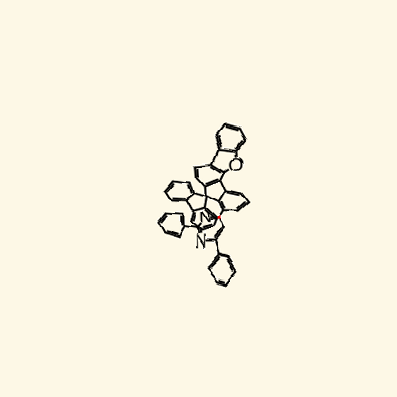 c1ccc(-c2cc(-c3cccc4c3C3(c5ccccc5-c5ccccc53)c3ccc5c(oc6ccccc65)c3-4)nc(-c3ccccc3)n2)cc1